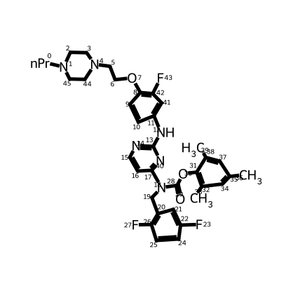 CCCN1CCN(CCOc2ccc(Nc3nccc(N(Cc4cc(F)ccc4F)C(=O)Oc4c(C)cc(C)cc4C)n3)cc2F)CC1